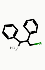 O=C(O)C(c1ccccc1)C(CBr)c1ccccc1